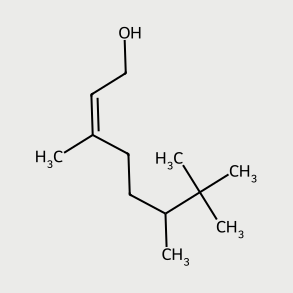 C/C(=C/CO)CCC(C)C(C)(C)C